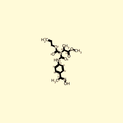 C=CCOC(=O)N(C(=O)Nc1ccc(C(C)=NO)cc1)C(C)C(=O)OC